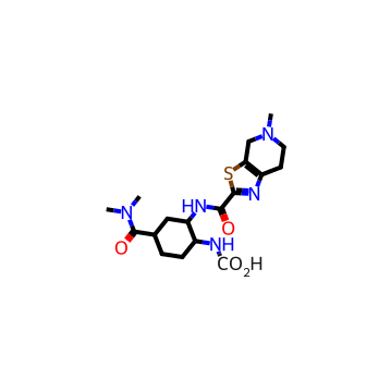 CN1CCc2nc(C(=O)NC3CC(C(=O)N(C)C)CCC3NC(=O)O)sc2C1